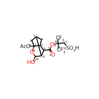 CC(=O)OC12CC3CC1C(C(=O)OC(CS(=O)(=O)O)(C(F)(F)F)C(F)(F)F)C3C(O)O2